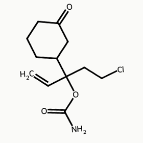 C=CC(CCCl)(OC(N)=O)C1CCCC(=O)C1